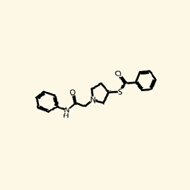 O=C(CN1CCC(SC(=O)c2ccccc2)C1)Nc1ccccc1